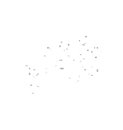 c1ccc(N(c2ccccc2)c2cc(N(c3ccccc3)c3ccccc3)cc(N(c3ccccc3)c3cccc(N(c4ccccc4)c4ccc5c(c4)c4ccccc4n5-c4ccccc4)c3)c2)cc1